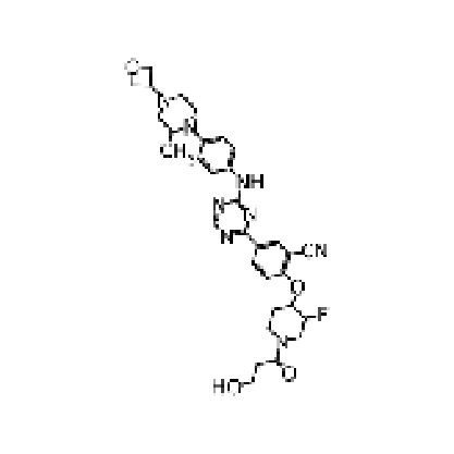 CC1CN(C2COC2)CCN1c1ccc(Nc2ncnc(-c3ccc(OC4CCN(C(=O)CCO)CC4F)c(C#N)c3)n2)cc1